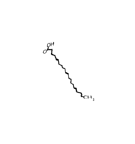 CCCCC=CCCCCC=CCCCCC=CCCCC(=O)O